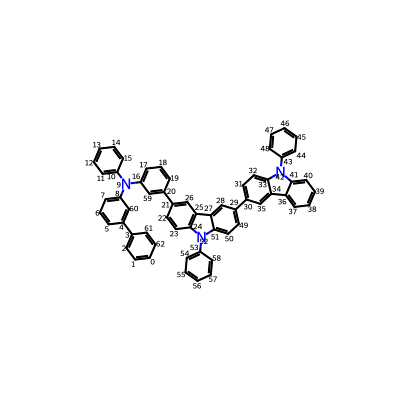 c1ccc(-c2cccc(N(c3ccccc3)c3cccc(-c4ccc5c(c4)c4cc(-c6ccc7c(c6)c6ccccc6n7-c6ccccc6)ccc4n5-c4ccccc4)c3)c2)cc1